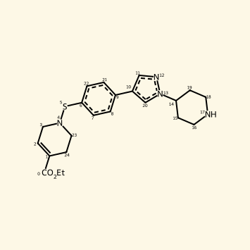 CCOC(=O)C1=CCN(Sc2ccc(-c3cnn(C4CCNCC4)c3)cc2)CC1